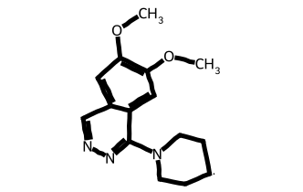 COc1cc2cnnc(N3CC[CH]CC3)c2cc1OC